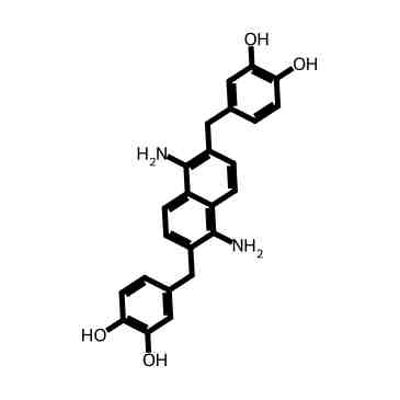 Nc1c(Cc2ccc(O)c(O)c2)ccc2c(N)c(Cc3ccc(O)c(O)c3)ccc12